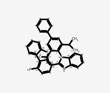 CC(C)c1cc(-c2ccccc2)cc(C(C)C)c1-n1c(-c2ccc(F)c3c2sc2ccccc23)nc2ccccc21